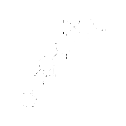 CC(C)(C)C1N(C(=O)O)CC12CC(NC(=O)[C@@H]1CC[C@@H]3CN1C(=O)N3OCc1ccccc1)C2